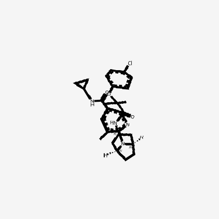 Cc1cc(C(=O)NC2CC2)cnc1N1[C@@H]2CC[C@H]1C[C@@H](NC(=O)C(C)(C)Oc1ccc(Cl)cc1)C2